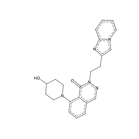 O=c1c2c(N3CCC(O)CC3)cccc2cnn1CCc1cn2ccccc2n1